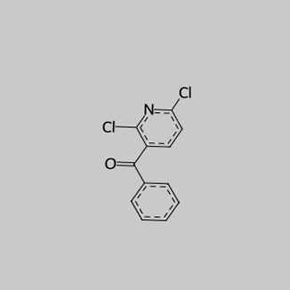 O=C(c1ccccc1)c1ccc(Cl)nc1Cl